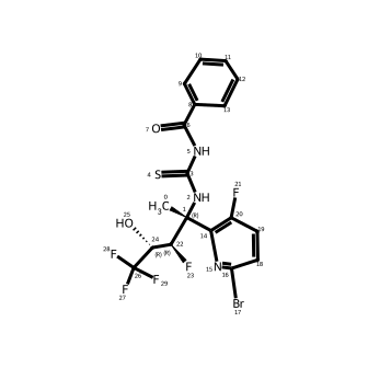 C[C@@](NC(=S)NC(=O)c1ccccc1)(c1nc(Br)ccc1F)[C@@H](F)[C@@H](O)C(F)(F)F